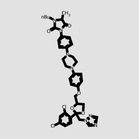 CCCCN1C(=O)N(c2ccc(N3CCN(c4ccc(OCC5COC(Cn6cncn6)(c6ccc(Cl)cc6Cl)O5)cc4)CC3)cc2)C(=O)C1C